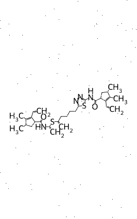 C=CC1=C(C)C(C)CC1C(=O)NC(=C)SC(=C)CCCCc1nnc(NC(=O)C2CC(C)C(C)=C2C=C)s1